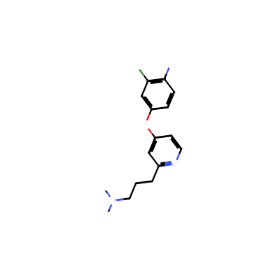 CCN([CH]CCc1cc(Oc2ccc(N)c(Cl)c2)ccn1)CC